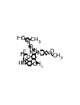 C=CC(=O)N1CC2(CCN(c3nc(N4CC(N5C[C@H](O)C[C@H]5C)C4)nc4c(OCC(F)(F)F)c(-c5c(C)ccc6[nH]ncc56)c(C5CC5)cc34)CC2)C1